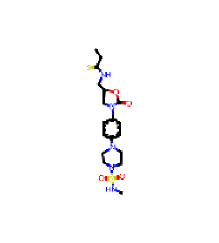 CCC(=S)NCC1CN(c2ccc(N3CCN(S(=O)(=O)NC)CC3)cc2)C(=O)O1